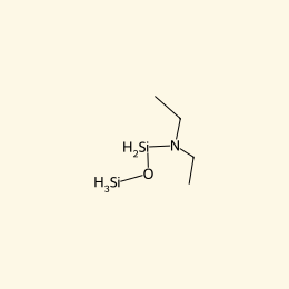 CCN(CC)[SiH2]O[SiH3]